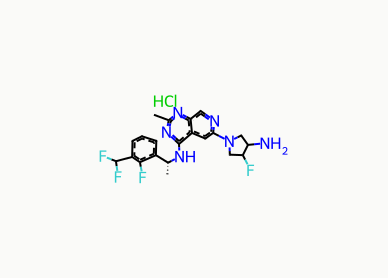 Cc1nc(N[C@H](C)c2cccc(C(F)F)c2F)c2cc(N3CC(N)C(F)C3)ncc2n1.Cl